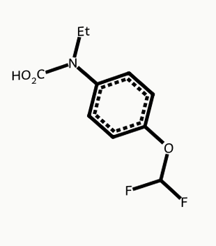 CCN(C(=O)O)c1ccc(OC(F)F)cc1